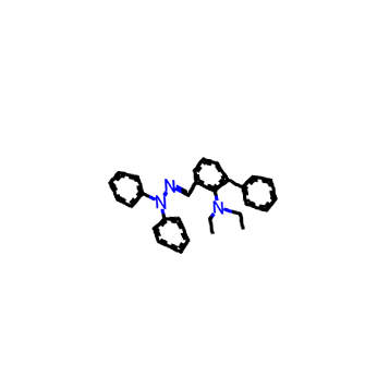 CCN(CC)c1c(/C=N/N(c2ccccc2)c2ccccc2)cccc1-c1ccccc1